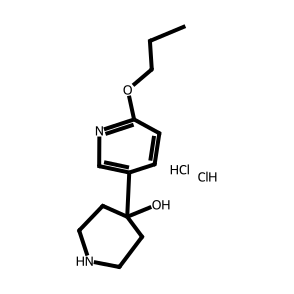 CCCOc1ccc(C2(O)CCNCC2)cn1.Cl.Cl